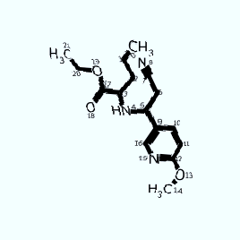 CCCC(NC(CC#N)c1ccc(OC)nc1)C(=O)OCC